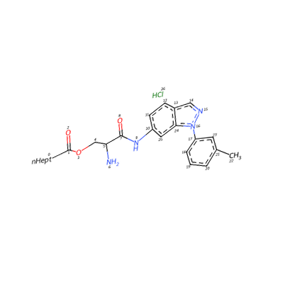 CCCCCCCC(=O)OCC(N)C(=O)Nc1ccc2cnn(-c3cccc(C)c3)c2c1.Cl